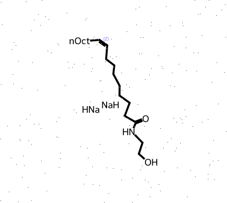 CCCCCCCC/C=C\CCCCCCCC(=O)NCCO.[NaH].[NaH]